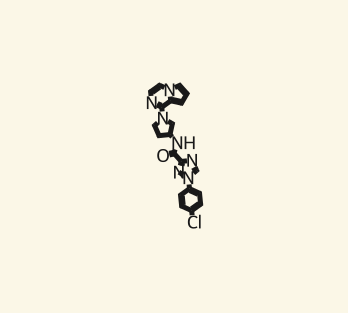 O=C(NC1CCN(c2nccn3cccc23)C1)c1ncn(-c2ccc(Cl)cc2)n1